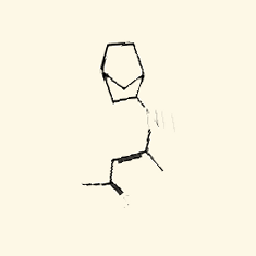 CC(=S)C=C(C)NC1CC2CCC1C2